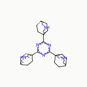 C1CC2(c3nc(C45CCC(CC4)CNC5)nc(C45CCC(CC4)CNC5)n3)CCC1CNC2